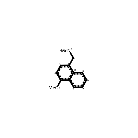 C[N]Cc1ccc(OC)c2ccccc12